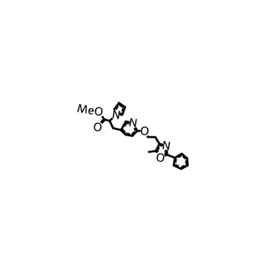 COC(=O)C(Cc1ccc(OCCc2nc(-c3ccccc3)oc2C)nc1)n1cccc1